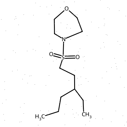 CCCC(CC)CCS(=O)(=O)N1CCOCC1